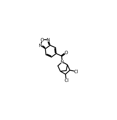 O=C(c1ccc2nonc2c1)N1CC2CC1C(Cl)C2Cl